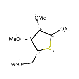 COC[C@H]1SC(OC(C)=O)[C@@H](OC)[C@H]1OC